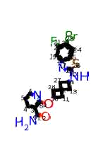 NC(=O)c1cccnc1OC1CC2(CC(Nc3nc4cc(F)c(Br)cc4s3)C2)C1